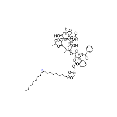 CCCCCCCC/C=C\CCCCCCC[C@@H]1OC[C@@H](COC(=O)O[C@@H](C(=O)O[C@H]2C[C@]3(O)C(C)C(=C2C)[C@@H](OC(C)=O)C(=O)[C@@]2(C)[C@H]([C@@H]3O)[C@]3(OC(C)=O)CO[C@@H]3C[C@@H]2O)[C@@H](NC(=O)c2ccccc2)c2ccccc2)O1